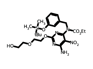 CCOC(=O)N(Cc1cccc(O[Si](C)(C)C(C)(C)C)c1)c1nc(OCCOCCO)nc(N)c1[N+](=O)[O-]